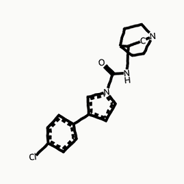 O=C(NC1CN2CCC1CC2)n1ccc(-c2ccc(Cl)cc2)c1